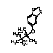 CC(C)(C)[Si](C)(C)Oc1ccc2ncsc2c1